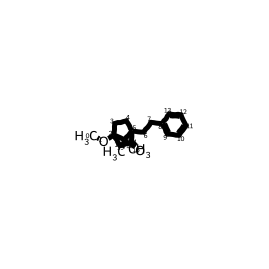 COC12CCC(CCc3ccccc3)(C(=O)C1)C2(C)C